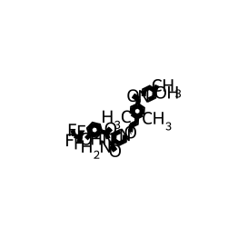 Cc1cc(C(=O)N2CCC(C)(O)CC2)cc(C)c1/C=C/ON1CCC(NC(=O)c2cccc(OC(F)(F)C(F)F)c2)(C(N)=O)CC1